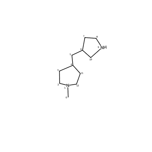 CN1CCC(CC2CCNC2)CC1